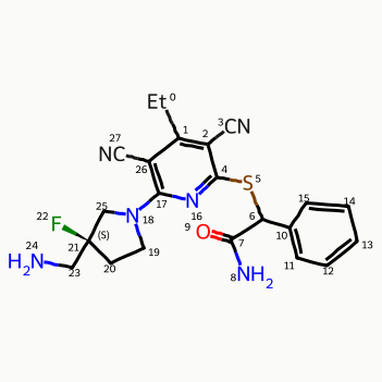 CCc1c(C#N)c(SC(C(N)=O)c2ccccc2)nc(N2CC[C@](F)(CN)C2)c1C#N